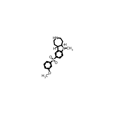 COc1cccc(S(=O)(=O)c2ccc3c(c2)[C@@H]2CCNCC[C@H]2N3C)c1